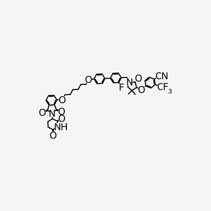 CC1(C)CN(Cc2ccc(-c3ccc(OCCCCCCOc4cccc5c4C(=O)N(C4CCC(=O)NC4=O)C5=O)cc3)cc2F)C(=O)C1Oc1ccc(C#N)c(C(F)(F)F)c1